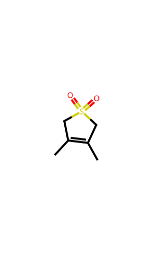 CC1=C(C)CS(=O)(=O)C1